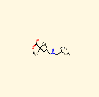 CC(C)CNCCCC(C)(C)C(=O)O